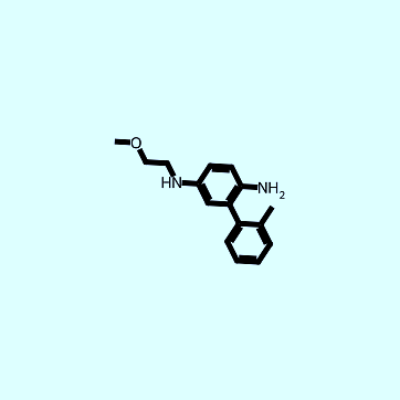 COCCNc1ccc(N)c(-c2ccccc2C)c1